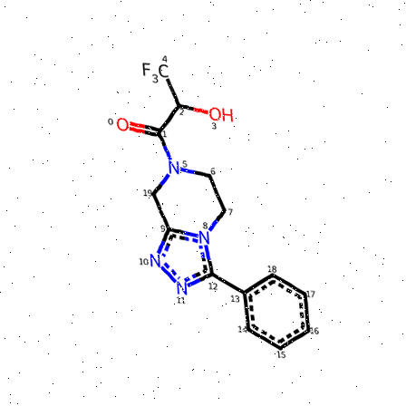 O=C(C(O)C(F)(F)F)N1CCn2c(nnc2-c2ccccc2)C1